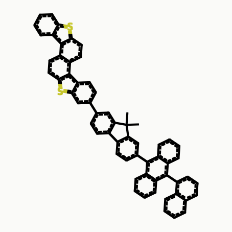 CC1(C)c2cc(-c3ccc4c(c3)sc3ccc5c(ccc6sc7ccccc7c65)c34)ccc2-c2ccc(-c3c4ccccc4c(-c4cccc5ccccc45)c4ccccc34)cc21